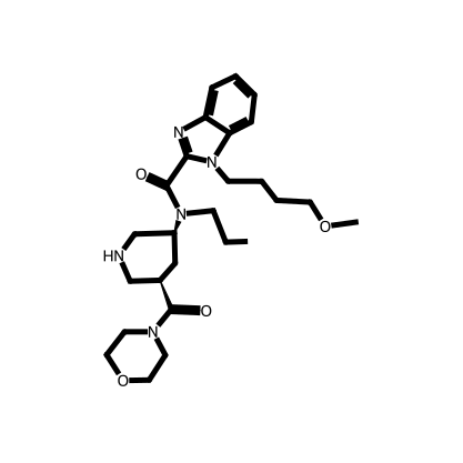 CCCN(C(=O)c1nc2ccccc2n1CCCCOC)[C@@H]1CNC[C@H](C(=O)N2CCOCC2)C1